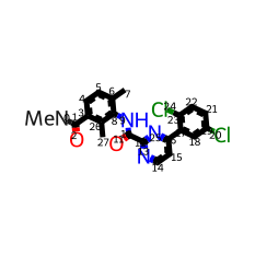 CNC(=O)c1ccc(C)c(NC(=O)c2nccc(-c3cc(Cl)ccc3Cl)n2)c1C